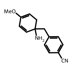 COC1=CCC(N)(Cc2ccc(C#N)cc2)C=C1